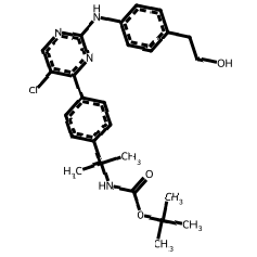 CC(C)(C)OC(=O)NC(C)(C)c1ccc(-c2nc(Nc3ccc(CCO)cc3)ncc2Cl)cc1